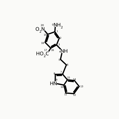 Nc1cc(NCCc2c[nH]c3ccccc23)c(C(=O)O)cc1[N+](=O)[O-]